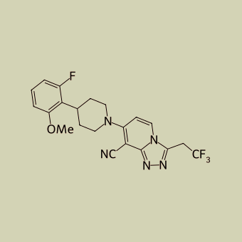 COc1cccc(F)c1C1CCN(c2ccn3c(CC(F)(F)F)nnc3c2C#N)CC1